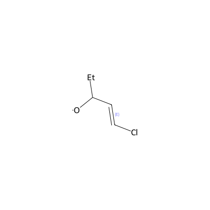 CCC([O])/C=C/Cl